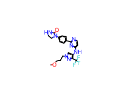 COCCCn1cc(Nc2ccnc(-c3ccc(N4CCNC4=O)cc3)n2)c(C(F)(F)F)n1